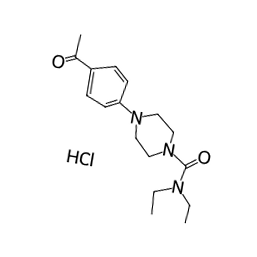 CCN(CC)C(=O)N1CCN(c2ccc(C(C)=O)cc2)CC1.Cl